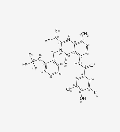 Cc1ccc(NC(=O)c2cc(Cl)c(O)c(Cl)c2)c2c(=O)n(Cc3cccnc3OC(F)(F)F)c(C(F)F)nc12